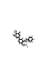 Cc1cc(-c2ccc(N)c(NCc3ccccc3)c2)cn(C)c1=O